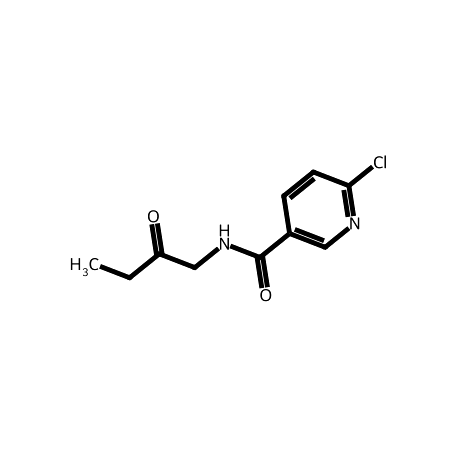 CCC(=O)CNC(=O)c1ccc(Cl)nc1